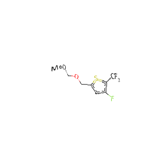 COCOCc1cc(F)c(C(F)(F)F)s1